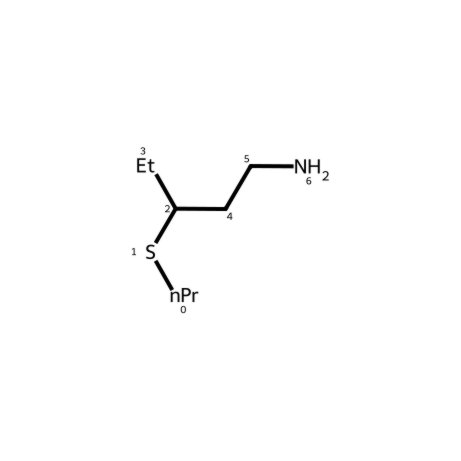 CCCSC(CC)CCN